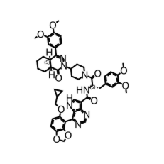 COc1ccc(C[C@H](NC(=O)c2c[nH]c3c(-c4c(OCC5CC5)ccc5c4OCO5)ncnc23)C(=O)N2CCC(N3N=C(c4ccc(OC)c(OC)c4)[C@H]4CCCC[C@H]4C3=O)CC2)cc1OC